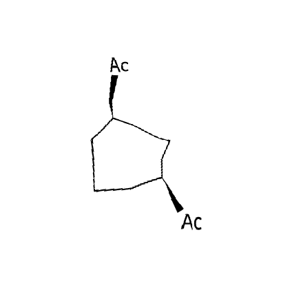 CC(=O)[C@@H]1CC[C@H](C(C)=O)C1